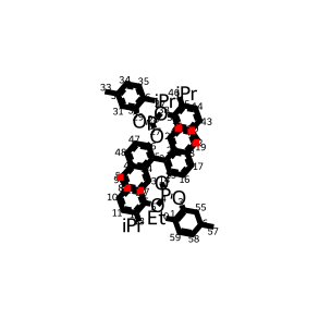 CCC1=C(OP(Oc2cc(C)ccc2C(C)C)Oc2ccc3ccccc3c2-c2c(OP(Oc3cc(C)ccc3C(C)C)Oc3cc(C)ccc3C(C)C)ccc3ccccc23)CC(C)C=C1